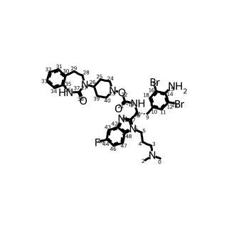 CN(C)CCCn1c([C@@H](Cc2cc(Br)c(N)c(Br)c2)NC(=O)ON2CCC(N3CCc4ccccc4NC3=O)CC2)nc2cc(F)ccc21